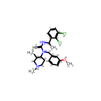 B=C(NC(C)c1cccc(Cl)c1Cl)N(Cc1cccc(OC)c1)C1CCN(C)CC1C